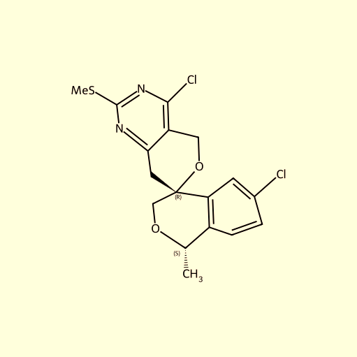 CSc1nc(Cl)c2c(n1)C[C@@]1(CO[C@@H](C)c3ccc(Cl)cc31)OC2